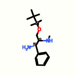 CN[C@H](CO[Si](C)(C)C(C)(C)C)[C@@H](N)c1ccccc1